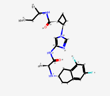 CCC[C@H](N[C@H]1CCc2cc(F)cc(F)c2C1)C(=O)Nc1cn([C@@H]2CC[C@H]2C(=O)NC(CC)COC)cn1